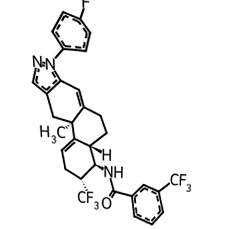 C[C@]12Cc3cnn(-c4ccc(F)cc4)c3C=C1CC[C@H]1C2=CC[C@@H](C(F)(F)F)[C@@H]1NC(=O)c1cccc(C(F)(F)F)c1